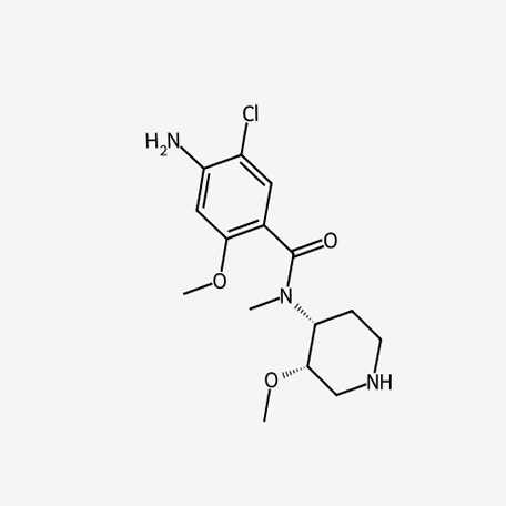 COc1cc(N)c(Cl)cc1C(=O)N(C)[C@@H]1CCNC[C@@H]1OC